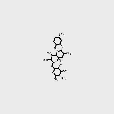 CNC1C(OC2OC(C)[C@@H](N)C(O)[C@@H]2O)O[C@H]2CC(N)[C@@H](O[C@H]3C[C@H](N)CCC3N)OC2C1O